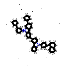 c1ccc(-c2cccc(-n3c4ccc(-c5ccc6c(c5)c5ccccc5n6-c5ccc(-c6cccc7ccccc67)cc5)cc4c4ccc(-c5ccccc5)cc43)c2)cc1